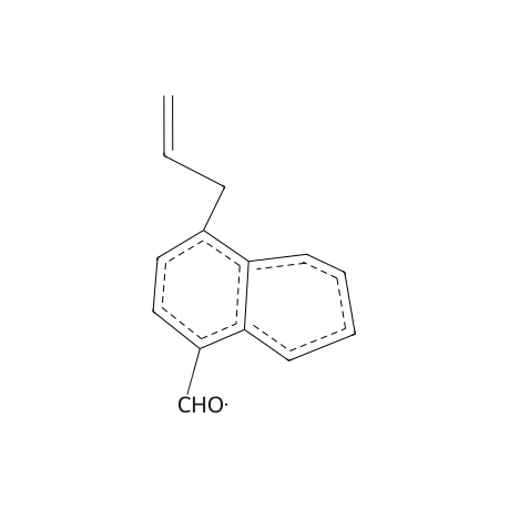 C=CCc1ccc([C]=O)c2ccccc12